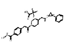 O=C(NO)c1ccc(CC(=O)N2CCC(CN[C@@H]3C[C@H]3c3ccccc3)CC2)cc1.O=C(O)C(F)(F)F